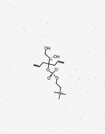 C=CCC(CC=C)(OP(=O)([O-])OCC[N+](C)(C)C)[C@@H](O)CO